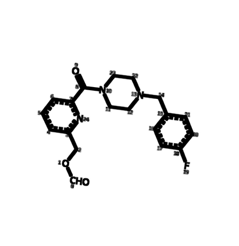 O=COCc1cccc(C(=O)N2CCN(Cc3ccc(F)cc3)CC2)n1